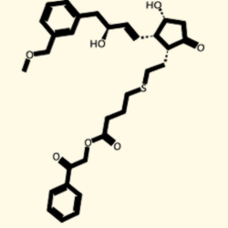 COCc1cccc(C[C@H](O)/C=C/[C@@H]2[C@H](O)CC(=O)[C@@H]2CCSCCCC(=O)OCC(=O)c2ccccc2)c1